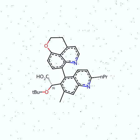 CCCc1ccc2c(-c3ccc4c5c(ccnc35)CCO4)c([C@H](OC(C)(C)C)C(=O)O)c(C)cc2n1